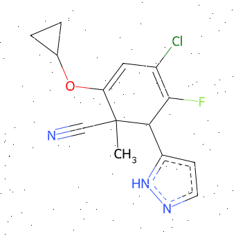 CC1(C#N)C(OC2CC2)=CC(Cl)=C(F)C1c1ccn[nH]1